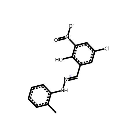 Cc1ccccc1N/N=C/c1cc(Cl)cc([N+](=O)[O-])c1O